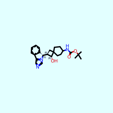 CC(C)(C)OC(=O)NC1CCC2(CC1)C[C@H]([C@H]1c3ccccc3-c3cncn31)[C@H]2O